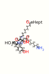 CCCCCCCC(=O)CCCCCC/C=C/[C@H](C(=O)N[C@@H](Cc1ccc(O)cc1)C(=O)O)[C@@](O)(CC(=O)OCCCCCN)C(=O)O